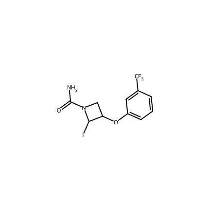 NC(=O)N1CC(Oc2cccc(C(F)(F)F)c2)C1I